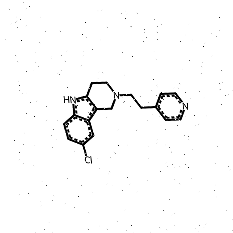 Clc1ccc2[nH]c3c(c2c1)CN(CCc1ccncc1)CC3